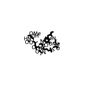 C/C=C(\C)Cc1cc(OC)c(Cl)c(N(C)C(=O)C[C@H](OC(=O)[C@H](C)N(C)C(=O)CCC(C)(C)SCC(=O)N(C)CCNC)C2(C)O[C@H]2[C@H](C)[C@@H]2C[C@](O)([C@@H](C)OC)NC(=O)O2)c1